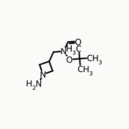 CC(C)(C)ON(C=O)CC1CN(N)C1